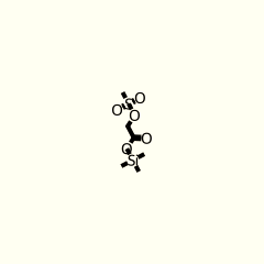 C[Si](C)(C)OC(=O)COS(C)(=O)=O